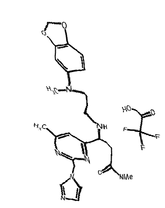 CNC(=O)CC(NCCN(C)c1ccc2c(c1)OCO2)c1cc(C)nc(-n2ccnc2)n1.O=C(O)C(F)(F)F